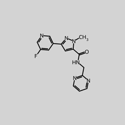 Cn1nc(-c2cncc(F)c2)cc1C(=O)NCc1ncccn1